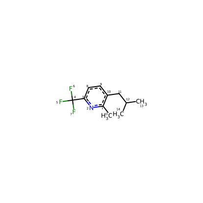 Cc1nc(C(F)(F)F)ccc1CC(C)C